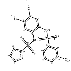 O=S(=O)(Nc1cc(Cl)c(Cl)cc1NS(=O)(=O)c1cccs1)c1cccc(C(F)(F)F)c1